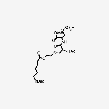 CCCCCCCCCCCCCCCC(=O)OCCSCC(NC(C)=O)C(=O)NC(COS(=O)(=O)O)C(=O)OC